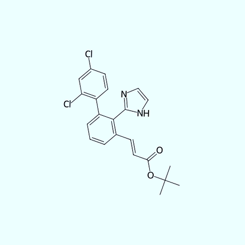 CC(C)(C)OC(=O)/C=C/c1cccc(-c2ccc(Cl)cc2Cl)c1-c1ncc[nH]1